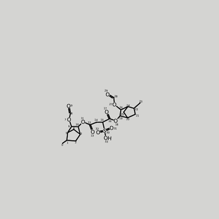 CC1CC2CC1C(OC=O)C2OC(=O)CC(C(=O)OC1C2CC(C)C(C2)C1OC=O)S(=O)(=O)O